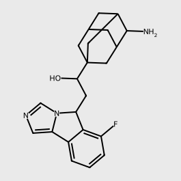 NC1C2CC3CC1CC(C(O)CC1c4c(F)cccc4-c4cncn41)(C3)C2